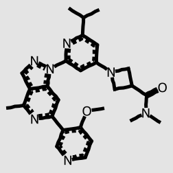 COc1ccncc1-c1cc2c(cnn2-c2cc(N3CC(C(=O)N(C)C)C3)cc(C(C)C)n2)c(C)n1